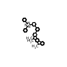 C=C1c2ccccc2-c2cc3c(cc21)C(C)(C)C1=C3CC(c2cccc(C3=CCCC(c4nc(-c5ccccc5)nc(-c5ccccc5)n4)=C3)c2)C=C1